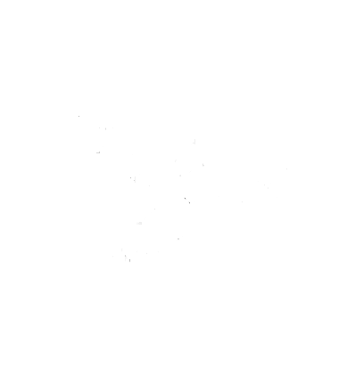 CS(=O)(=O)OCCN(CCBr)c1ccc([N+](=O)[O-])cc1C(=O)NCCOP